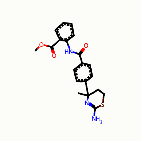 COC(=O)c1ccccc1NC(=O)c1ccc(C2(C)CCSC(N)=N2)cc1